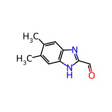 Cc1cc2nc(C=O)[nH]c2cc1C